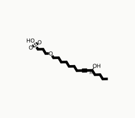 CCCC[C@@H](O)C#CCCCCCCCOCCCS(=O)(=O)O